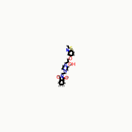 Cc1nc2cc(OCC(O)CN3CCN(CCN4C(=O)c5ccccc5C4=O)CC3)ccc2s1